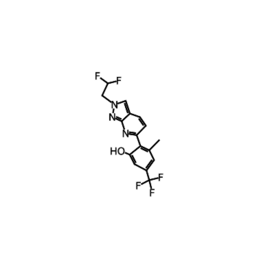 Cc1cc(C(F)(F)F)cc(O)c1-c1ccc2cn(CC(F)F)nc2n1